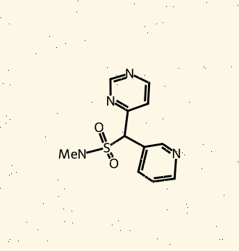 CNS(=O)(=O)C(c1cccnc1)c1ccncn1